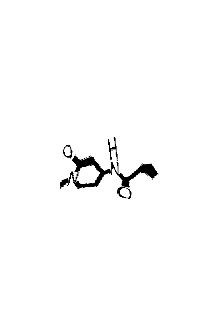 CCC(=O)NC1CCN(C)C(=O)C1